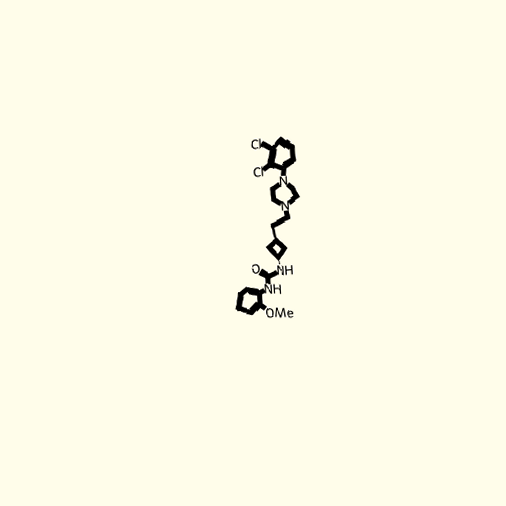 COc1ccccc1NC(=O)N[C@H]1C[C@H](CCN2CCN(c3cccc(Cl)c3Cl)CC2)C1